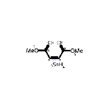 COC(=O)/C=C\C(=O)OC.[SnH4]